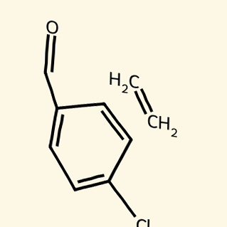 C=C.O=Cc1ccc(Cl)cc1